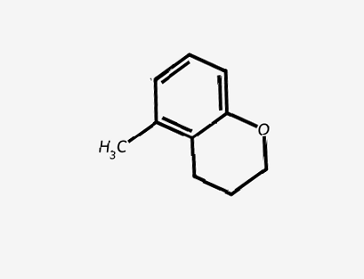 Cc1[c]ccc2c1CCCO2